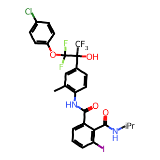 Cc1cc(C(O)(C(F)(F)F)C(F)(F)Oc2ccc(Cl)cc2)ccc1NC(=O)c1cccc(I)c1C(=O)NC(C)C